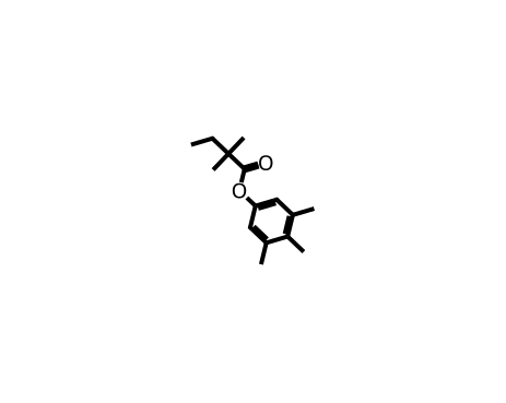 CCC(C)(C)C(=O)Oc1cc(C)c(C)c(C)c1